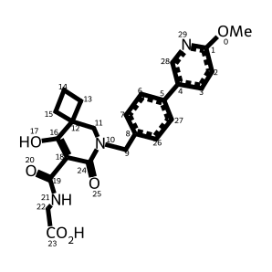 COc1ccc(-c2ccc(CN3CC4(CCC4)C(O)=C(C(=O)NCC(=O)O)C3=O)cc2)cn1